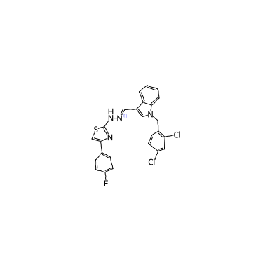 Fc1ccc(-c2csc(N/N=C/c3cn(Cc4ccc(Cl)cc4Cl)c4ccccc34)n2)cc1